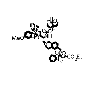 CCOC(=O)[C@H](C)OP(=O)(Cc1ccc2c(c1)CCN(C[C@H](NC(=O)O[C@H]1CO[C@H]3OCC[C@H]31)[C@H](O)CN(CC(C)C)S(=O)(=O)c1ccc(OC)cc1)C2)Oc1ccccc1